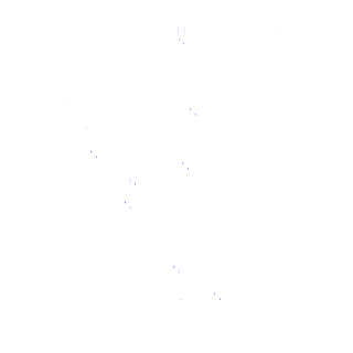 O=C1NC(=O)/C(=C/c2cnn3c(NC4CC4)cc(NCc4ccc(F)cc4-c4ccc[nH]4)nc23)N1